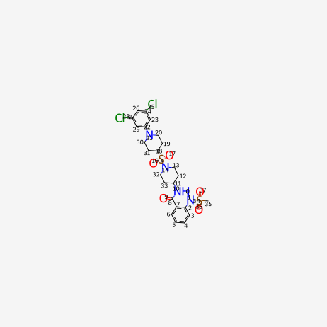 CN(c1ccccc1C(=O)NC1CCN(S(=O)(=O)C2CCN(c3cc(Cl)cc(Cl)c3)CC2)CC1)S(C)(=O)=O